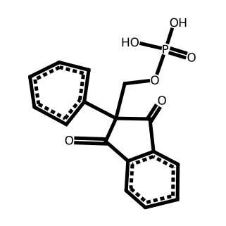 O=C1c2ccccc2C(=O)C1(COP(=O)(O)O)c1ccccc1